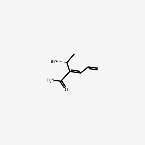 C=C/C=C(/C(N)=O)[C@@H](C)C(C)C